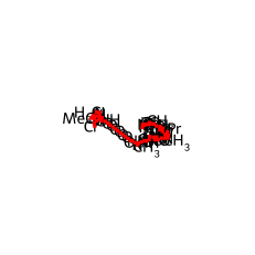 COc1ccc2c(c1)C(c1ccc(Cl)cc1)=N[C@@H](CC(=O)NCCOCCOCCOCCOCCOCCOCCC(=O)NCCCN(C)CCCNC(=O)CCNC(=O)c1nc(NC(=O)CCNC(=O)c3c(NC(=O)c4nc(NC(=O)CCNC(=O)c5cc(NC(=O)c6nccn6C(C)C)cn5C)cn4C(C)C)ccn3C)cn1C(C)C)c1nnc(C)n1-2